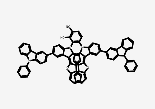 N#Cc1ccc(-n2c3ccc(-c4ccc5c(c4)-c4ccccc4C5c4ccccc4)cc3c3c4oc5ccccc5c4ccc32)c(-n2c3ccc(-c4ccc5c(c4)c4ccccc4n5-c4ccccc4)cc3c3c4oc5ccccc5c4ccc32)c1C#N